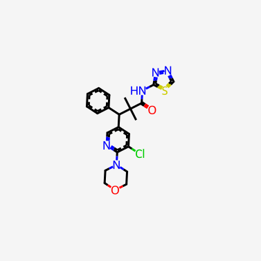 CC(C)(C(=O)Nc1nncs1)C(c1ccccc1)c1cnc(N2CCOCC2)c(Cl)c1